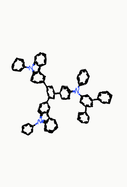 c1ccc(-c2cc(-c3ccccc3)cc(N(c3ccccc3)c3ccc(-c4cc(-c5ccc6c(c5)c5ccccc5n6-c5ccccc5)cc(-c5ccc6c(c5)c5ccccc5n6-c5ccccc5)c4)cc3)c2)cc1